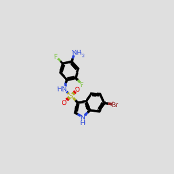 Nc1cc(F)c(NS(=O)(=O)c2c[nH]c3cc(Br)ccc23)cc1F